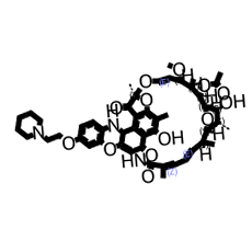 CO[C@H]1/C=C/O[C@@]2(C)Oc3c(C)c(O)c4c(c3C2=O)C2Nc3ccc(OCCN5CCCCC5)cc3OC2=C(NC(=O)/C(C)=C\C=C\[C@H](C)[C@@H]2O[C@H]([C@H](O)[C@@H]2C)[C@H](OC(C)=O)[C@@H]1C)C4=O